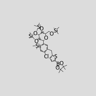 CC1(C)OB(c2ccc(Cc3cc(C4OC(CO[Si](C)(C)C)[C@@H](O[Si](C)(C)C)C(O[Si](C)(C)C)[C@H]4O[Si](C)(C)C)ccc3Cl)s2)OC1(C)C